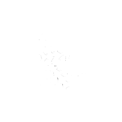 COCCCc1c2ccccc2c(CCCOC)c2cc(C(=O)Oc3c(C(=O)O)ccc4c(CCCOC)c5ccccc5c(CCCOC)c34)ccc12